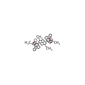 CCCc1cc(N(c2cccc3c2CCCC3)c2cccc3c4ccccc4n(-c4cccc(CC)c4)c23)c2ccc3c(CCC)cc(N(c4cccc5c4CCCC5)c4cccc5c6ccccc6n(-c6cccc(CC)c6)c45)c4ccc1c2c34